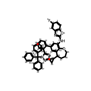 Fc1ccc2oc(Nc3cc(-c4ccccc4-c4nnnn4C(c4ccccc4)(c4ccccc4)c4ccccc4)cc4c3OCCCC4C3CC3)nc2c1